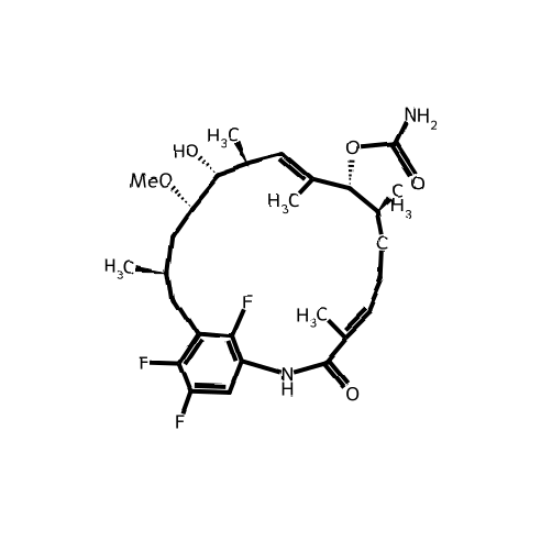 CO[C@H]1C[C@H](C)Cc2c(F)c(F)cc(c2F)NC(=O)/C(C)=C/CC[C@H](C)[C@@H](OC(N)=O)/C(C)=C/[C@H](C)[C@H]1O